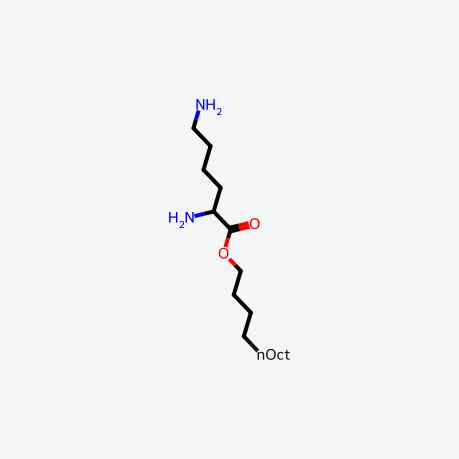 CCCCCCCCCCCCOC(=O)C(N)CCCCN